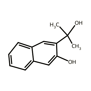 CC(C)(O)c1cc2ccccc2cc1O